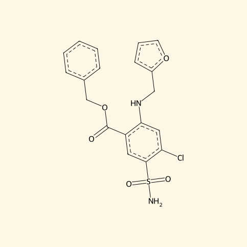 NS(=O)(=O)c1cc(C(=O)OCc2ccccc2)c(NCc2ccco2)cc1Cl